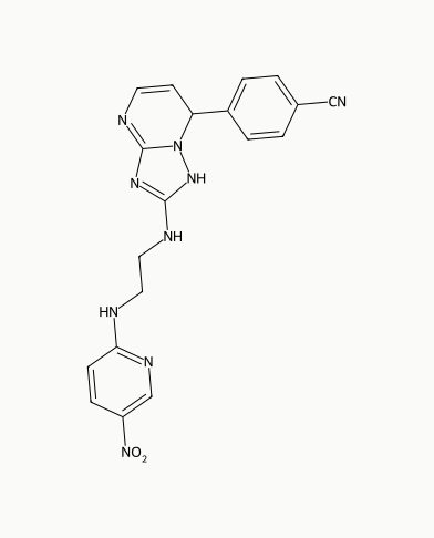 N#Cc1ccc(C2C=CN=C3N=C(NCCNc4ccc([N+](=O)[O-])cn4)NN32)cc1